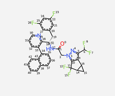 O=C(Cn1nc(C(F)F)c2c1C(F)(F)C1CC21)N[C@@H](Cc1cc(F)cc(F)c1)c1ncccc1-c1cccc2ccccc12